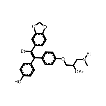 CCC(=C(c1ccc(O)cc1)c1ccc(OCC(CN(C)CC)OC(C)=O)cc1)c1ccc2c(c1)OCO2